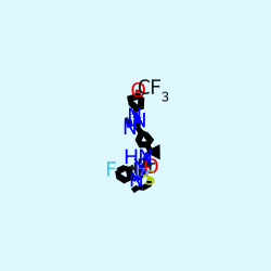 CC(C)c1cc(F)ccc1N1/C(=N/C(=O)NC2(c3ccc(-c4ncn(-c5ccc(OC(F)(F)F)cc5)n4)cc3)CC2)SCCC1C